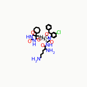 CCC1(C2=CCCCCC2)C(=O)NC(=O)NC1=O.CN(C(=O)CNC(=O)[C@@H](N)CCCCN)c1ccc(Cl)cc1C(=O)c1ccccc1